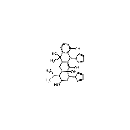 CN(C)C1C(O)CC(=C2C=CC=C2)C2(O)C(O)=C3C(=C4C=CC=C4)c4c(O)cccc4C(C)(O)C3CC12